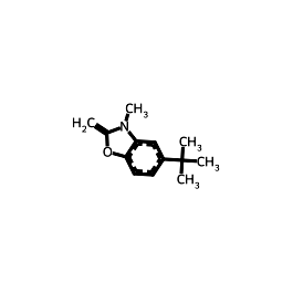 C=C1Oc2ccc(C(C)(C)C)cc2N1C